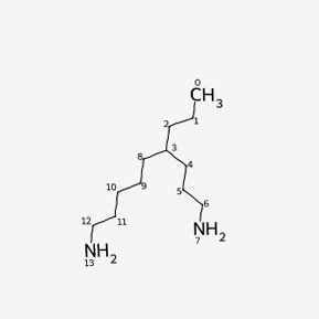 CCCC(CCCN)CCCCCN